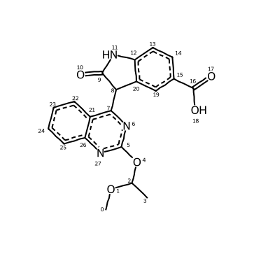 COC(C)Oc1nc(C2C(=O)Nc3ccc(C(=O)O)cc32)c2ccccc2n1